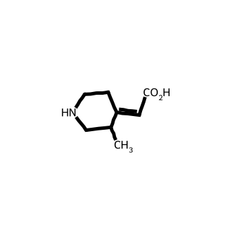 CC1CNCCC1=CC(=O)O